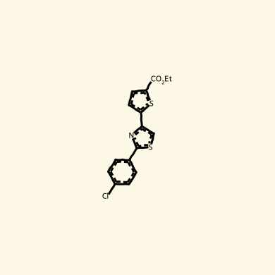 CCOC(=O)c1ccc(-c2csc(-c3ccc(Cl)cc3)n2)s1